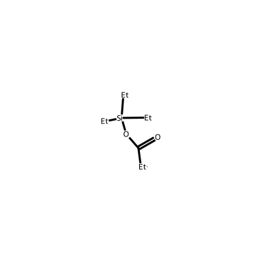 C[CH]C(=O)O[Si](CC)(CC)CC